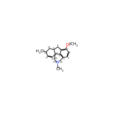 COc1ccc2c3c1CC1CC(C)C=CC31CCN(C)C2